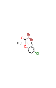 CC(C)(Oc1ccc(Cl)cc1)C(=O)C(Br)Br